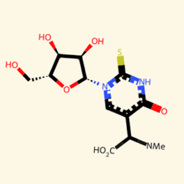 CNC(C(=O)O)c1cn([C@@H]2O[C@H](CO)[C@@H](O)[C@H]2O)c(=S)[nH]c1=O